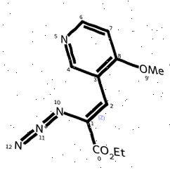 CCOC(=O)/C(=C/c1cnccc1OC)N=[N+]=[N-]